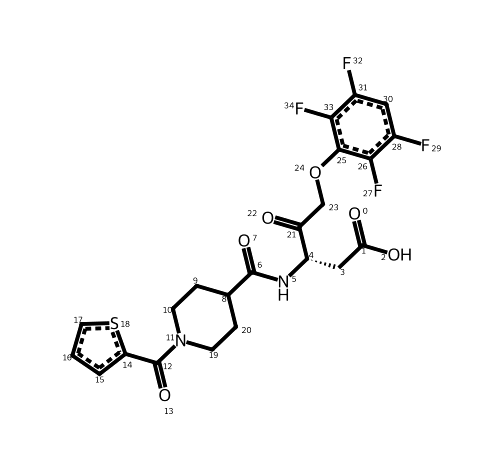 O=C(O)C[C@H](NC(=O)C1CCN(C(=O)c2cccs2)CC1)C(=O)COc1c(F)c(F)cc(F)c1F